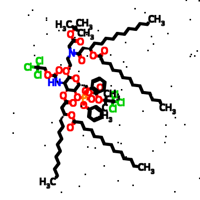 CCCCCCCCCCCCCC(=O)O[C@H](CCCCCCCCCCC)CC(=O)O[C@@H]1[C@@H](NC(=O)OCC(Cl)(Cl)Cl)[C@H](OCCN(CC(=O)OC(C)(C)C)C(=O)C[C@@H](CCCCCCCCCCC)OC(=O)CCCCCCCCCCCCC)O[C@H](COC(=O)OC(C)(C)C(Cl)(Cl)Cl)[C@H]1OP(=O)(Oc1ccccc1)Oc1ccccc1